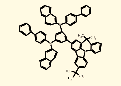 CC(C)(C)c1ccc2c(c1)c1cc(-c3cc(N(c4ccc(-c5ccccc5)cc4)c4ccc5ccccc5c4)cc(N(c4ccc(-c5ccccc5)cc4)c4ccc5ccccc5c4)c3)cc3c1n2-c1ccccc1C3(C)C